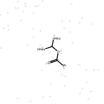 CCCCCCC(CCCCCC)OC(=O)C(C)C